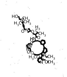 CCn1c(-c2cccnc2COC)c2c3cc(ccc31)-c1cccc(c1)C[C@H](NC(=O)C(COC1CN(C(=O)C#CC(C)(C)N(C)CCO)C1)C(C)C)C(=O)N1CCC[C@H](N1)C(=O)OCC(C)(C)C2